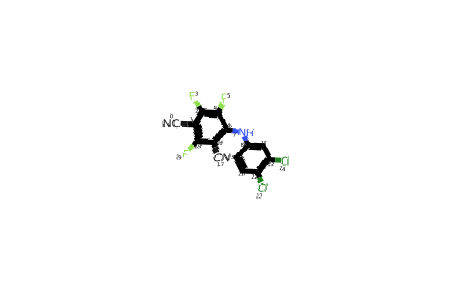 N#Cc1c(F)c(F)c(Nc2ccc(Cl)c(Cl)c2)c(C#N)c1F